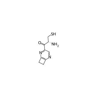 N[C@@H](CS)C(=O)c1cnc2c(n1)CC2